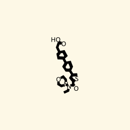 CCN(C(=O)c1cc(-c2ccc(-c3ccc(CC(=O)O)cc3)cc2)cs1)N1CCOCC1